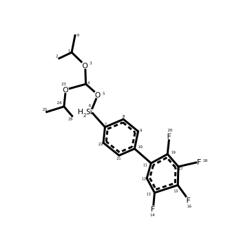 CC(C)OC(O[SiH2]c1ccc(-c2cc(F)c(F)c(F)c2F)cc1)OC(C)C